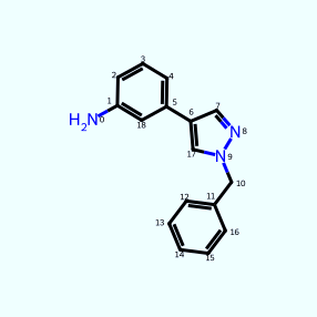 Nc1cccc(-c2cnn(Cc3ccccc3)c2)c1